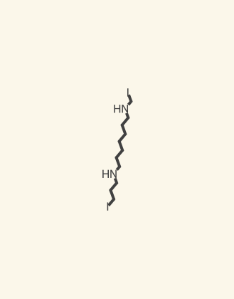 ICCCNCCCCCCCNCI